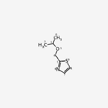 CC(C)OCc1nccs1